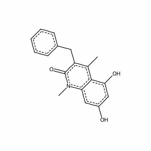 Cc1c(Cc2ccccc2)c(=O)n(C)c2cc(O)cc(O)c12